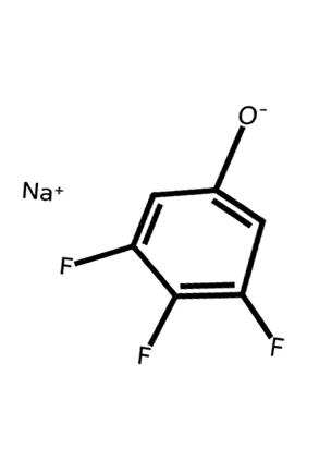 [Na+].[O-]c1cc(F)c(F)c(F)c1